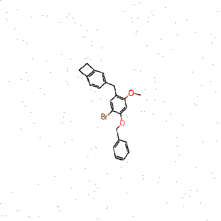 COc1cc(OCc2ccccc2)c(Br)cc1Cc1ccc2c(c1)CC2